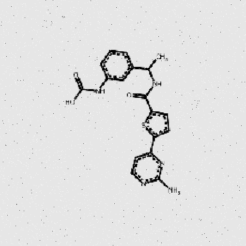 CC(NC(=O)c1ccc(-c2ccnc(N)n2)s1)c1cccc(NC(=O)O)c1